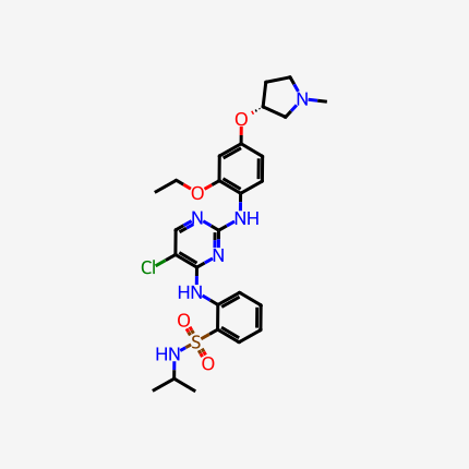 CCOc1cc(O[C@@H]2CCN(C)C2)ccc1Nc1ncc(Cl)c(Nc2ccccc2S(=O)(=O)NC(C)C)n1